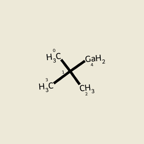 C[C](C)(C)[GaH2]